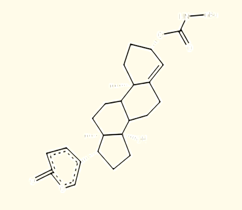 CCCCNC(=O)O[C@@H]1C=C2CCC3C(CC[C@]4(C)[C@@H](c5ccc(=O)oc5)CC[C@]34O)[C@@]2(C)CC1